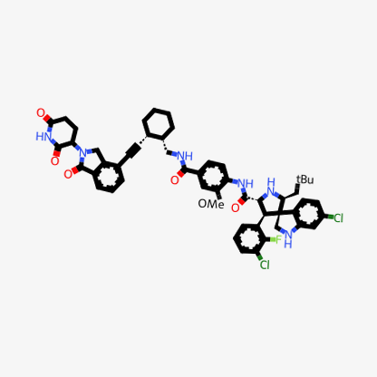 COc1cc(C(=O)NC[C@H]2CCCC[C@H]2C#Cc2cccc3c2CN(C2CCC(=O)NC2=O)C3=O)ccc1NC(=O)[C@@H]1N[C@@H](CC(C)(C)C)[C@@]2(CNc3cc(Cl)ccc32)[C@H]1c1cccc(Cl)c1F